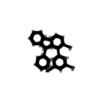 Brc1nc(Br)nc(-c2c(Br)ccc3c4ccccc4n(-c4ccccc4)c23)n1